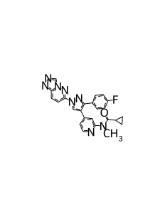 CN(C(=O)C1CC1)c1cc(-c2cn(-c3ccc4nncn4n3)nc2-c2ccc(F)cc2)ccn1